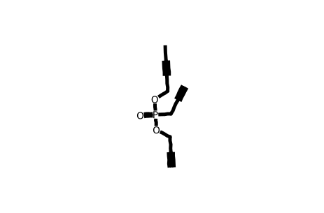 C#CCOP(=O)(CC#C)OCC#CC